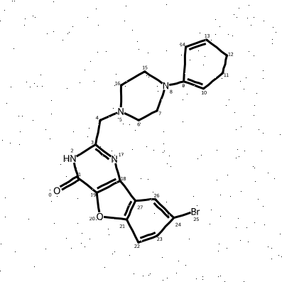 O=c1[nH]c(CN2CCN(C3=CCCC=C3)CC2)nc2c1oc1ccc(Br)cc12